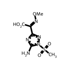 CO/N=C(\C(=O)O)c1nc(N)n(S(C)(=O)=O)n1